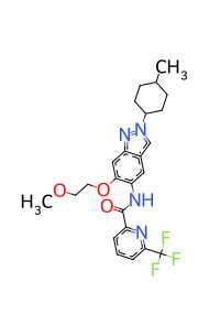 COCCOc1cc2nn(C3CCC(C)CC3)cc2cc1NC(=O)c1cccc(C(F)(F)F)n1